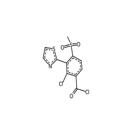 CS(=O)(=O)c1ccc(C(=O)Cl)c(Cl)c1-c1nccs1